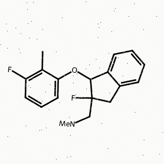 CNCC1(F)Cc2ccccc2C1Oc1cccc(F)c1C